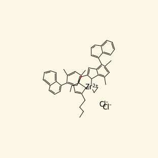 CCCCC1=Cc2c(-c3cccc4ccccc34)c(C)cc(C)c2[CH]1[Zr+2]1([CH]2C(CCCC)=Cc3c(-c4cccc5ccccc45)c(C)cc(C)c32)[CH2][CH2]1.[Cl-].[Cl-]